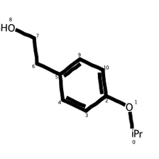 CC(C)Oc1ccc(CCO)cc1